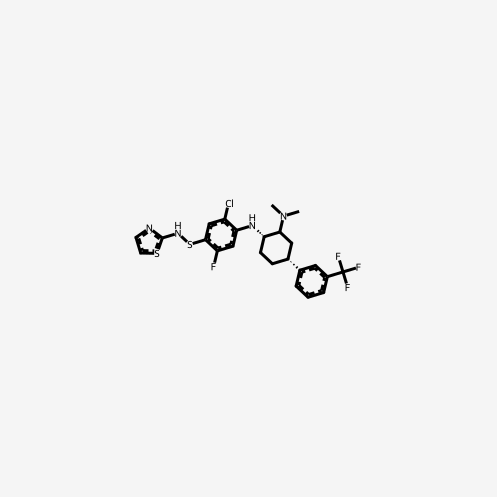 CN(C)C1C[C@H](c2cccc(C(F)(F)F)c2)CC[C@@H]1Nc1cc(F)c(SNc2nccs2)cc1Cl